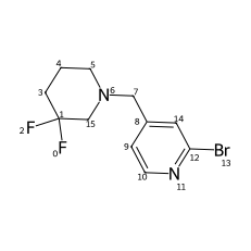 FC1(F)CCCN(Cc2ccnc(Br)c2)C1